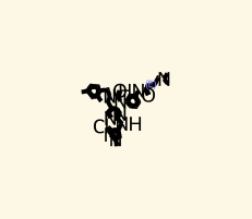 Cc1ccc(CN2Cc3cnc(Nc4cn(C)nc4Cl)nc3N(c3cccc(NC(=O)/C=C/CN(C)C)c3)C2=O)c(C)c1